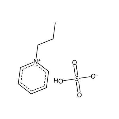 CCC[n+]1ccccc1.O=S(=O)([O-])O